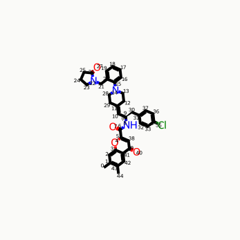 Cc1cc2oc(C(=O)N[C@@H](C=C3CCN(c4ccccc4CN4CCCC4=O)CC3)Cc3ccc(Cl)cc3)cc(=O)c2cc1C